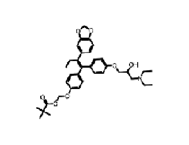 CC/C(=C(\c1ccc(OCOC(=O)C(C)(C)C)cc1)c1ccc(OCC(O)CN(CC)CC)cc1)c1ccc2c(c1)OCO2